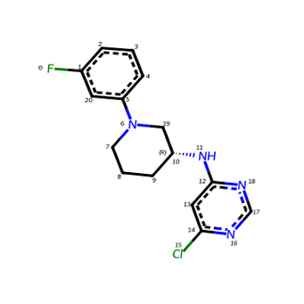 Fc1cccc(N2CCC[C@@H](Nc3cc(Cl)ncn3)C2)c1